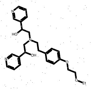 CCOCCOc1ccc(CCN(CC(O)c2cccnc2)CC(O)c2cccnc2)cc1